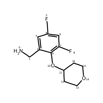 NCc1cc(F)cc(F)c1OC1CCOCC1